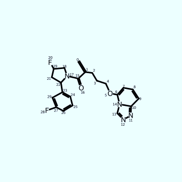 C=C(CCCOc1cccc2nncn12)C(=O)N1CC(F)CC1c1cccc(F)c1